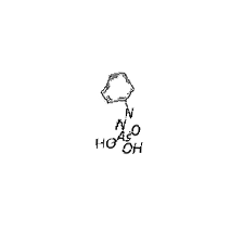 O=[As](O)(O)N=Nc1ccccc1